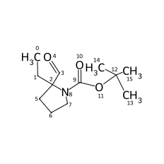 CCC1(C=O)CCCN1C(=O)OC(C)(C)C